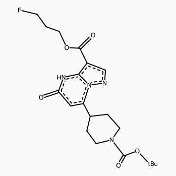 CC(C)(C)OC(=O)N1CCC(c2cc(=O)[nH]c3c(C(=O)OCCCF)cnn23)CC1